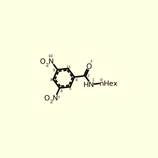 CCCCCCNC(=O)c1cc([N+](=O)[O-])cc([N+](=O)[O-])c1